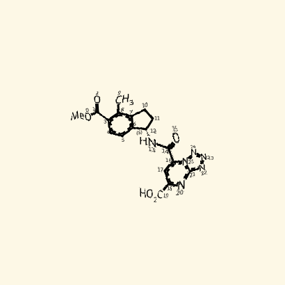 COC(=O)c1ccc2c(c1C)CC[C@@H]2NC(=O)c1cc(C(=O)O)nc2nnnn12